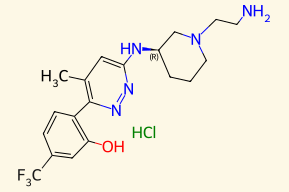 Cc1cc(N[C@@H]2CCCN(CCN)C2)nnc1-c1ccc(C(F)(F)F)cc1O.Cl